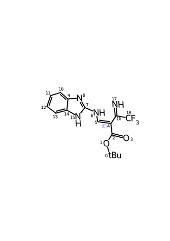 CC(C)(C)OC(=O)/C(=C/Nc1nc2ccccc2[nH]1)C(=N)C(F)(F)F